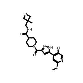 COc1cc(-c2cc(C(=O)N3CCC(C(=O)NCC4(C)COC4)CC3)n[nH]2)c(Cl)cn1